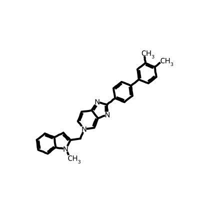 Cc1ccc(-c2ccc(-c3nc4ccn(Cc5cc6ccccc6n5C)cc-4n3)cc2)cc1C